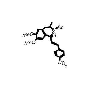 COc1cc2c(cc1OC)C(/C=C/c1ccc([N+](=O)[O-])cc1)=NN(C(C)=O)C(C)C2